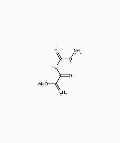 C=C(OC)C(=O)OC(=O)ON